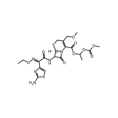 CCO/N=C(/C(=O)NC1C(=O)N2C(C(=O)OC(C)OC(=O)OC)=C(COC)CS[C@H]12)c1csc(N)n1